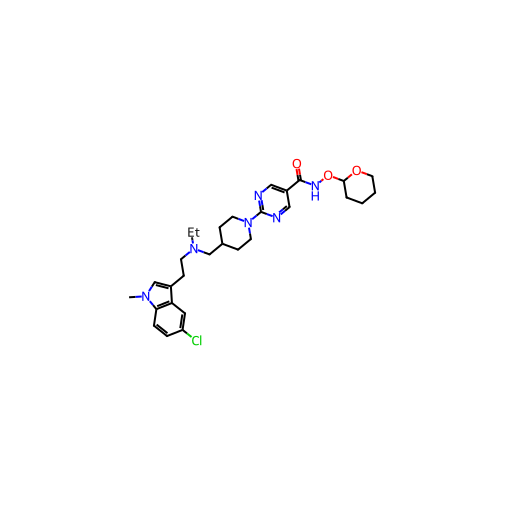 CCN(CCc1cn(C)c2ccc(Cl)cc12)CC1CCN(c2ncc(C(=O)NOC3CCCCO3)cn2)CC1